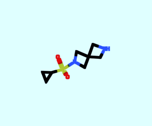 O=S(=O)(C1CC1)N1CC2(CNC2)C1